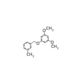 COc1cc(OC)cc(OCc2cccc(C)c2)c1